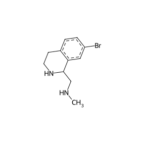 CNCC1NCCc2ccc(Br)cc21